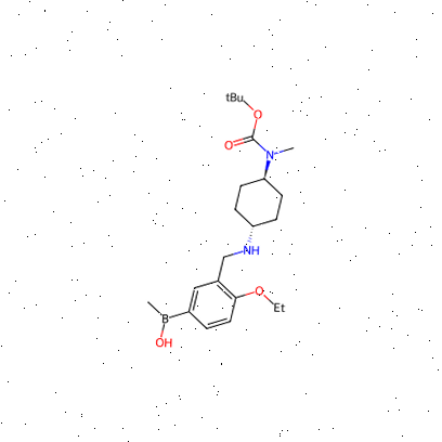 CCOc1ccc(B(C)O)cc1CN[C@H]1CC[C@H](N(C)C(=O)OC(C)(C)C)CC1